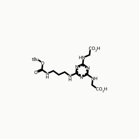 CC(C)(C)OC(=O)NCCCNc1nc(NCC(=O)O)nc(NCC(=O)O)n1